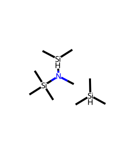 CN([SiH](C)C)[Si](C)(C)C.C[SiH](C)C